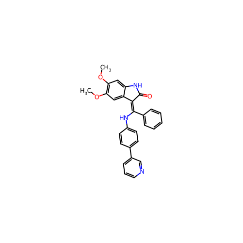 COc1cc2c(cc1OC)/C(=C(\Nc1ccc(-c3cccnc3)cc1)c1ccccc1)C(=O)N2